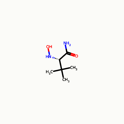 CC(C)(C)[C@H](NO)C(N)=O